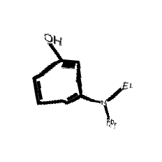 CCCN(CC)c1cccc(O)c1